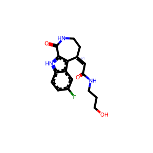 O=C(/C=C1/CCNC(=O)c2[nH]c3ccc(F)cc3c21)NCCCO